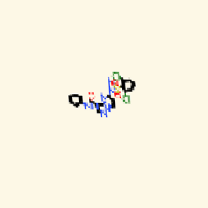 O=C(Nc1ccccc1)c1cnn2ccc(NS(=O)(=O)c3c(Cl)cccc3Cl)nc12